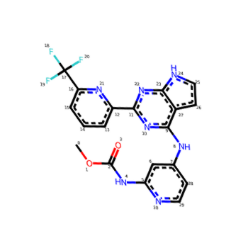 COC(=O)Nc1cc(Nc2nc(-c3cccc(C(F)(F)F)n3)nc3[nH]ccc23)ccn1